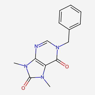 Cn1c(=O)n(C)c2c(=O)n(Cc3ccccc3)cnc21